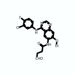 CCOc1cc2ncnc(Nc3ccc(F)c(Cl)c3)c2cc1NC(=O)CCC=O